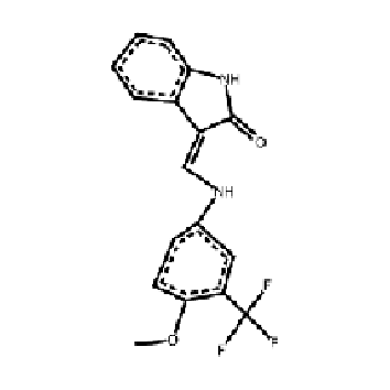 COc1ccc(NC=C2C(=O)Nc3ccccc32)cc1C(F)(F)F